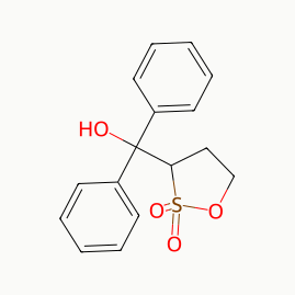 O=S1(=O)OCCC1C(O)(c1ccccc1)c1ccccc1